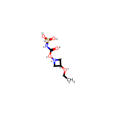 CCOC1CN(OC(=O)N=S(=O)=O)C1